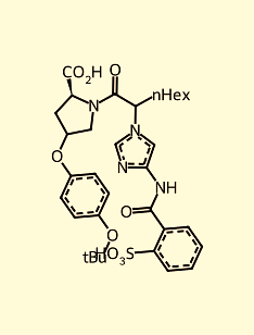 CCCCCCC(C(=O)N1CC(Oc2ccc(OC(C)(C)C)cc2)C[C@H]1C(=O)O)n1cnc(NC(=O)c2ccccc2S(=O)(=O)O)c1